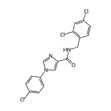 O=C(NCc1ccc(Cl)cc1Cl)c1cn(-c2ccc(Cl)cc2)cn1